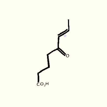 C/C=C/C(=O)CCCC(=O)O